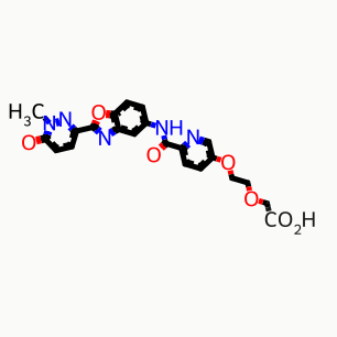 Cn1nc(-c2nc3cc(NC(=O)c4ccc(OCCOCC(=O)O)cn4)ccc3o2)ccc1=O